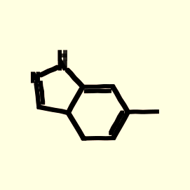 CC1=CCC2C=NNC2=C1